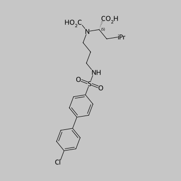 CC(C)C[C@@H](C(=O)O)N(CCCNS(=O)(=O)c1ccc(-c2ccc(Cl)cc2)cc1)C(=O)O